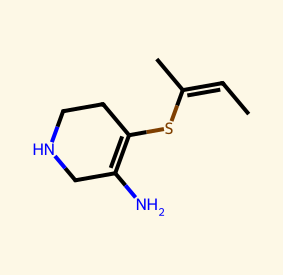 C/C=C(/C)SC1=C(N)CNCC1